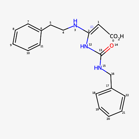 O=C(O)/C=C(/NCCc1ccccc1)NC(=O)NCc1ccccc1